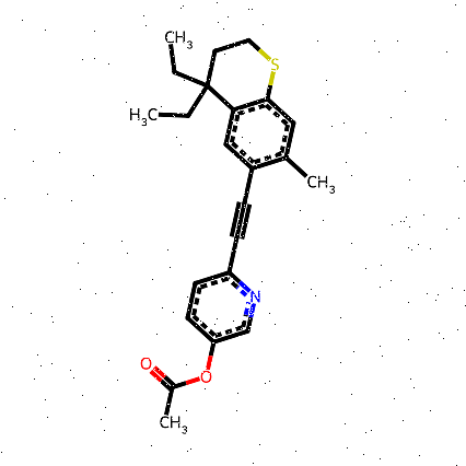 CCC1(CC)CCSc2cc(C)c(C#Cc3ccc(OC(C)=O)cn3)cc21